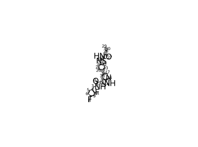 O=C(NCc1ccc(F)cc1F)c1c[nH]c2ncc(-c3ccc4nc(NC(=O)C5CC5)sc4c3)cc12